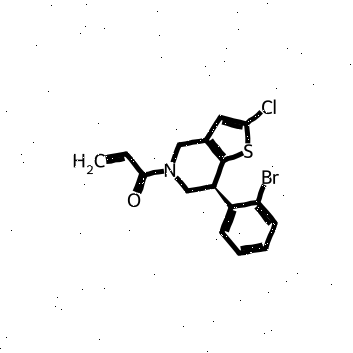 C=CC(=O)N1Cc2cc(Cl)sc2[C@@H](c2ccccc2Br)C1